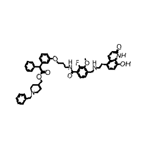 COc1c(CNCCc2ccc(O)c3[nH]c(=O)ccc23)ccc(C(=O)NCCCOc2cccc(C(C(=O)OCC3CCN(Cc4ccccc4)CC3)c3ccccc3)c2)c1F